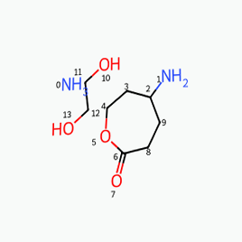 N.NC1CCOC(=O)CC1.OCCO